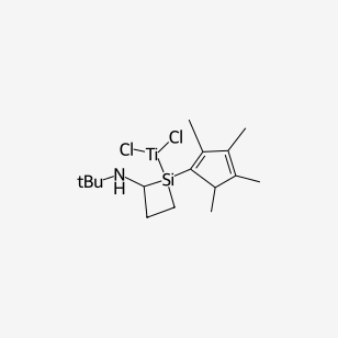 CC1=C(C)C(C)C([Si]2([Ti]([Cl])[Cl])CCC2NC(C)(C)C)=C1C